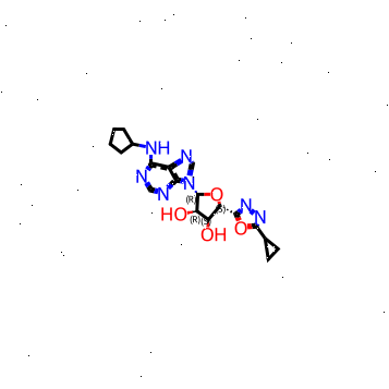 O[C@@H]1[C@H](O)[C@@H](c2nnc(C3CC3)o2)O[C@H]1n1cnc2c(NC3CCCC3)ncnc21